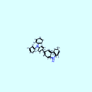 CCc1ccc2[nH]c3ccc(-c4ccc(N(c5ccccc5)c5ccccc5)cc4)cc3c2c1